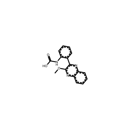 COc1nc2ccccc2nc1-c1ccccc1NC(=O)O